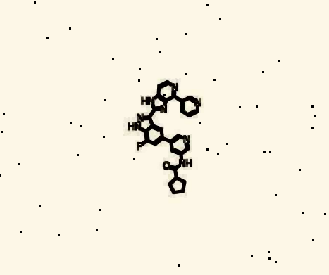 O=C(Nc1cncc(-c2cc(F)c3[nH]nc(-c4nc5c(-c6cccnc6)nccc5[nH]4)c3c2)c1)C1CCCC1